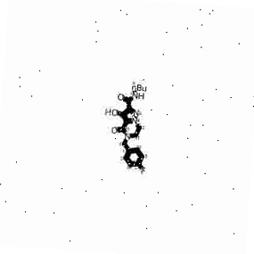 CCCCNC(=O)c1nn2c(c1O)C(=O)N(Cc1ccc(F)cc1)CC2